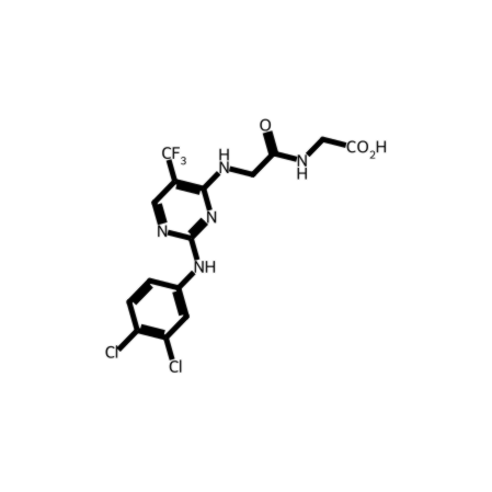 O=C(O)CNC(=O)CNc1nc(Nc2ccc(Cl)c(Cl)c2)ncc1C(F)(F)F